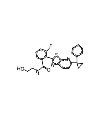 CN(CCO)C(=O)c1cccc(F)c1-c1nc2ccc(C3(c4ccccc4)CC3)nc2s1